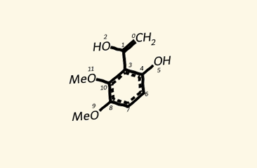 C=C(O)c1c(O)ccc(OC)c1OC